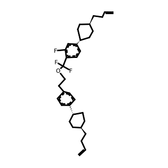 C=CCC[C@H]1CC[C@H](c2ccc(CCOC(F)(F)c3ccc([C@H]4CC[C@H](CCC=C)CC4)cc3F)cc2)CC1